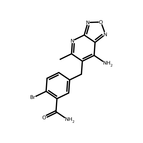 Cc1nc2nonc2c(N)c1Cc1ccc(Br)c(C(N)=O)c1